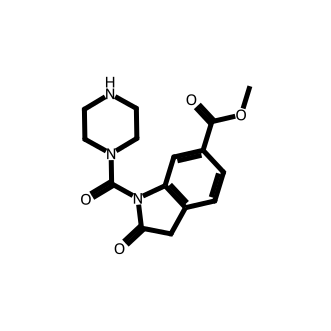 COC(=O)c1ccc2c(c1)N(C(=O)N1CCNCC1)C(=O)C2